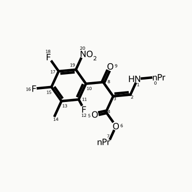 CCCN/C=C(/C(=O)OCCC)C(=O)c1c(F)c(C)c(F)c(F)c1[N+](=O)[O-]